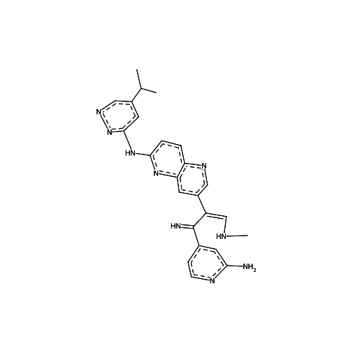 CN/C=C(\C(=N)c1ccnc(N)c1)c1cnc2ccc(Nc3cc(C(C)C)cnn3)nc2c1